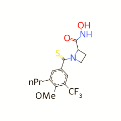 CCCc1cc(C(=S)N2CCC2C(=O)NO)cc(C(F)(F)F)c1OC